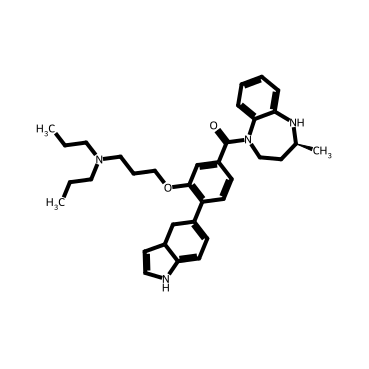 CCCN(CCC)CCCOc1cc(C(=O)N2CC[C@H](C)Nc3ccccc32)ccc1C1=CC=C2NC=CC2C1